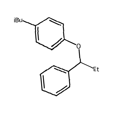 CCC(C)c1ccc(OC(CC)c2ccccc2)cc1